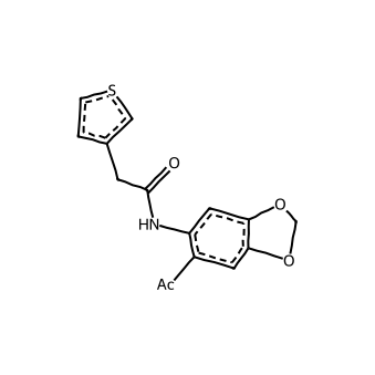 CC(=O)c1cc2c(cc1NC(=O)Cc1ccsc1)OCO2